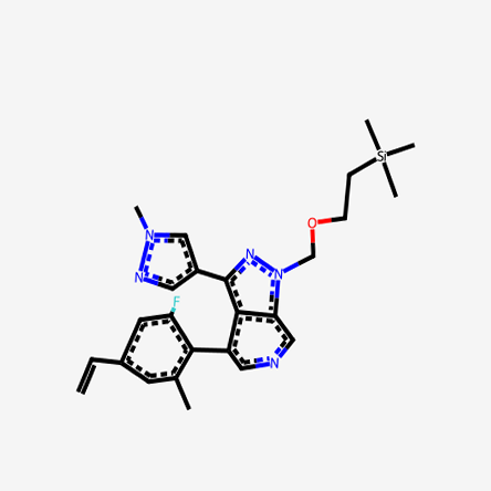 C=Cc1cc(C)c(-c2cncc3c2c(-c2cnn(C)c2)nn3COCC[Si](C)(C)C)c(F)c1